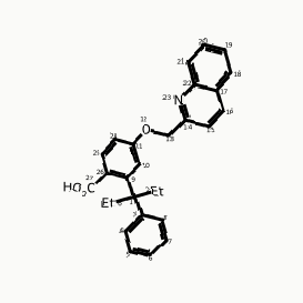 CCC(CC)(c1ccccc1)c1cc(OCc2ccc3ccccc3n2)ccc1C(=O)O